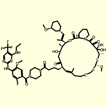 CCNc1nc(Nc2cc(F)c(C(=O)N3CCN(C(=O)CCC[C@@H]4/C=C(\C)CCCCC[C@@H](OC)C[C@@H](C)C(O)(O)C(=O)C(=O)N5CCCC[C@H]5C(=O)O[C@H](/C(C)=C/[C@@H]5CCC[C@H](OC)C5)[C@H](C)[C@@H](O)CC4=O)CC3)cc2OC)ncc1C(F)(F)F